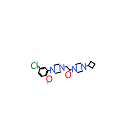 COc1ccc(Cl)cc1N1CCN(CC(=O)N2CCN(C3CCC3)CC2)CC1